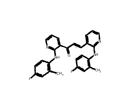 Cc1cc(F)ccc1Nc1ncccc1/C=C/C(=O)c1cccnc1Nc1ccc(F)cc1C